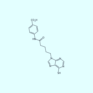 O=C(CCCCn1cnc2c(S)ncnc21)Nc1ccc(C(=O)O)cc1